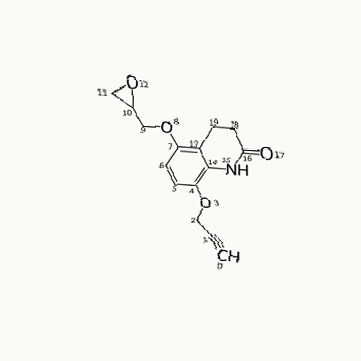 C#CCOc1ccc(OCC2CO2)c2c1NC(=O)CC2